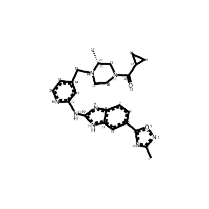 Cc1noc(-c2ccc3nc(Nc4cc(CN5CCN(C(=O)C6CC6)C[C@H]5C)ccn4)[nH]c3c2)n1